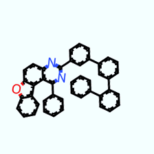 c1ccc(-c2ccccc2-c2cccc(-c3cccc(-c4nc(-c5ccccc5)c5c(ccc6oc7ccccc7c65)n4)c3)c2)cc1